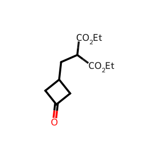 CCOC(=O)C(CC1CC(=O)C1)C(=O)OCC